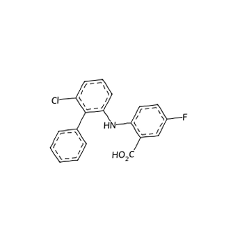 O=C(O)c1cc(F)ccc1Nc1cccc(Cl)c1-c1ccccc1